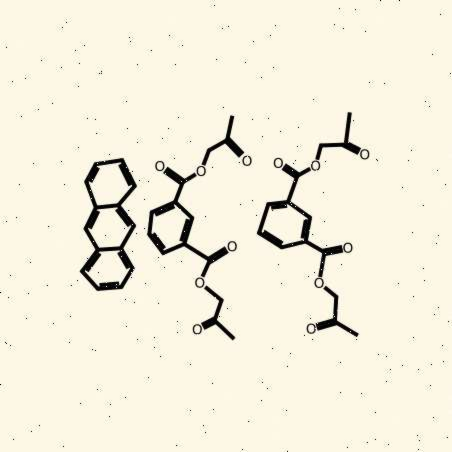 CC(=O)COC(=O)c1cccc(C(=O)OCC(C)=O)c1.CC(=O)COC(=O)c1cccc(C(=O)OCC(C)=O)c1.c1ccc2cc3ccccc3cc2c1